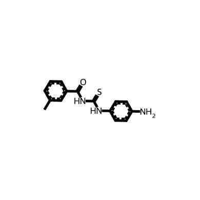 Cc1cccc(C(=O)NC(=S)Nc2ccc(N)cc2)c1